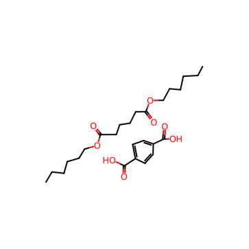 CCCCCCOC(=O)CCCCC(=O)OCCCCCC.O=C(O)c1ccc(C(=O)O)cc1